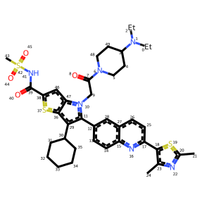 CCN(CC)C1CCN(C(=O)Cn2c(-c3ccc4nc(-c5sc(C)nc5C)ccc4c3)c(C3CCCCC3)c3sc(C(=O)NS(C)(=O)=O)cc32)CC1